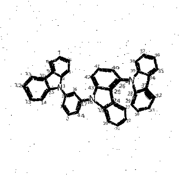 c1cc(-n2c3ccccc3c3ccccc32)cc(-n2c3ccccc3c3c(-n4c5ccccc5c5ccccc54)cccc32)c1